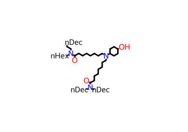 CCCCCCCCCCCCN(CCCCCC)C(=O)CCCCCCCN(CCCCCCCC(=O)N(CCCCCCCCCC)CCCCCCCCCC)C1CCC(O)CC1